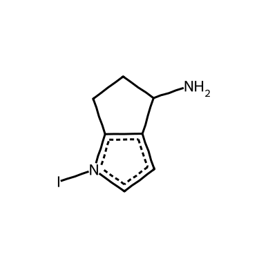 NC1CCc2c1ccn2I